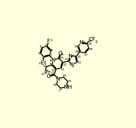 CCc1ccc(F)cc1-n1c(CC(C)C)c(C(=O)N2CCNCC2)cc(-c2nc(-c3ccc(C(F)(F)F)nc3)cs2)c1=O